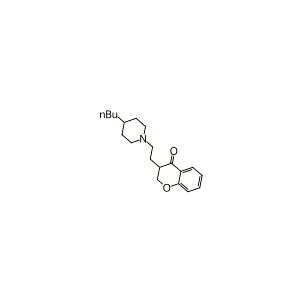 CCCCC1CCN(CCC2COc3ccccc3C2=O)CC1